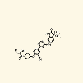 CC1(C)C(=O)Nc2cc(Nc3ncnc(-c4ccc(OC5CCN(C(=O)[C@H](O)CF)CC5)c(C#N)c4)n3)ccc21